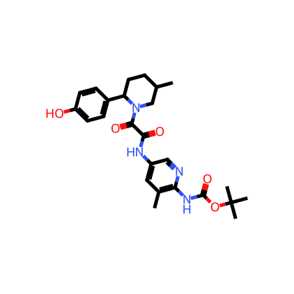 Cc1cc(NC(=O)C(=O)N2CC(C)CCC2c2ccc(O)cc2)cnc1NC(=O)OC(C)(C)C